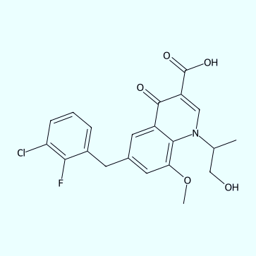 COc1cc(Cc2cccc(Cl)c2F)cc2c(=O)c(C(=O)O)cn(C(C)CO)c12